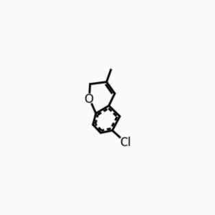 CC1=Cc2cc(Cl)ccc2OC1